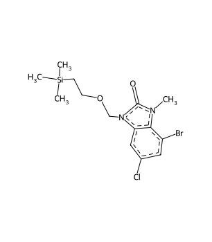 Cn1c(=O)n(COCC[Si](C)(C)C)c2cc(Cl)cc(Br)c21